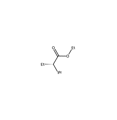 CCOC(=O)[C@@H](CC)C(C)C